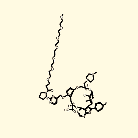 COCCOCCOCCOCCOCCOCCOCCC(=O)N1CCC[C@@H]1c1nccc(COc2ccc3cc2C[C@H](C(=O)O)Oc2ncnc4sc(-c5ccc(F)cc5)c(c24)-c2ccc(c(Cl)c2C)O[C@H](CN2CCN(C)CC2)CO3)n1